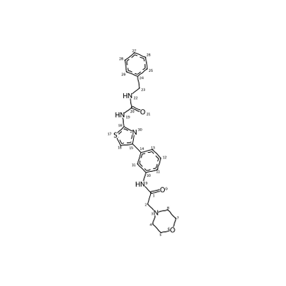 O=C(CN1CCOCC1)Nc1cccc(-c2csc(NC(=O)NCc3ccccc3)n2)c1